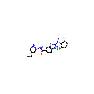 CCc1ccnc(NC(=O)c2ccc3[nH]c(Nc4c(Cl)cccc4Cl)nc3c2)c1